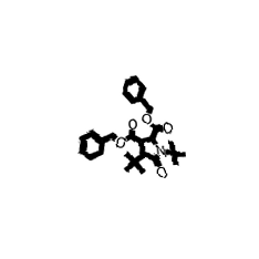 CC(C)(C)C1C(=O)N(C(C)(C)C)C(C(=O)OCc2ccccc2)C1C(=O)OCc1ccccc1